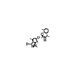 Cc1cccc(C(C)NC(=O)COc2cc(C)c3c(C4CC4)nn(C)c3n2)c1